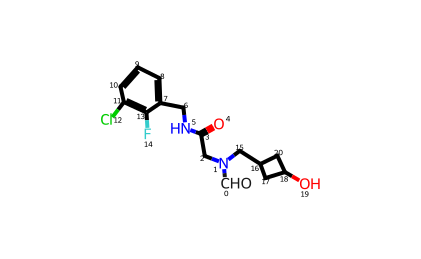 O=CN(CC(=O)NCc1cccc(Cl)c1F)CC1CC(O)C1